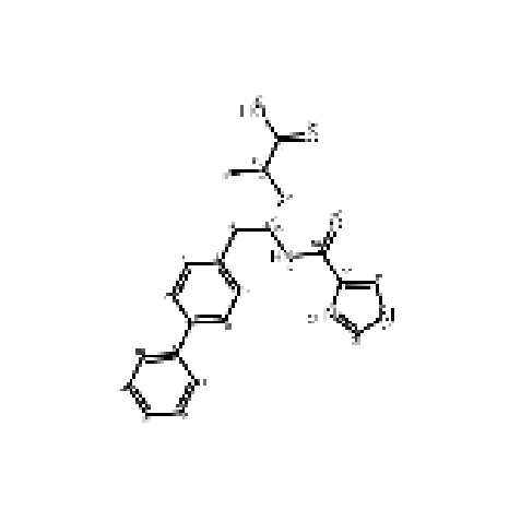 C[C@H](C[C@@H](Cc1ccc(-c2ccccc2)cc1)NC(=O)c1c[nH]cn1)C(=O)O